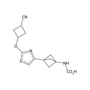 N#CC1CC(Oc2nc(C34CC(NC(=O)O)(C3)C4)cs2)C1